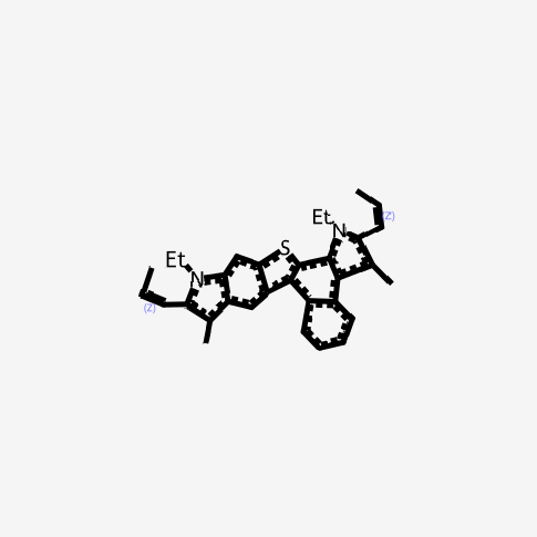 C/C=C\c1c(C)c2cc3c(cc2n1CC)sc1c3c2ccccc2c2c(C)c(/C=C\C)n(CC)c12